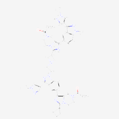 CNC(=O)N1CCn2c(C3CCC3)nc(-c3ccc4c(c3)c(-c3cnn(C)c3)nn4CCN3CC(c4nc(-c5ccc6c(c5)c(-c5cnn(C)c5)nn6C)c5n4CCN(C(=O)NC)C5)C3)c2C1